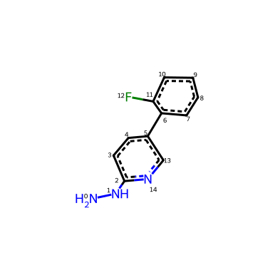 NNc1ccc(-c2ccccc2F)cn1